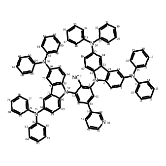 N#Cc1c(-n2c3ccc(N(c4ccccc4)c4ccccc4)cc3c3cc(N(c4ccccc4)c4ccccc4)ccc32)cc(-c2cccnc2)cc1-n1c2ccc(N(c3ccccc3)c3ccccc3)cc2c2cc(N(c3ccccc3)c3ccccc3)ccc21